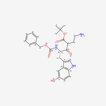 CC(C)(C)OC(=O)C(CCN)C(=O)[C@H](Cc1c[nH]c2ccc(O)cc12)NC(=O)OCc1ccccc1